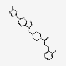 O=C(CCc1ccccc1F)N1CCC(Cn2ccc3nc(-c4cn[nH]c4)ccc32)CC1